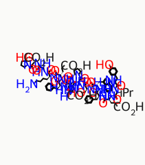 CC(C)[C@H](NC(=O)[C@@H](N)Cc1ccc(O)cc1)C(=O)N[C@@H](CCC(=O)O)C(=O)N[C@@H](Cc1ccccc1)C(=O)N[C@@H](Cc1c[nH]c2ccccc12)C(=O)N[C@@H](CO)C(=O)N[C@@H](Cc1c[nH]cn1)C(=O)N1CCC[C@H]1C(=O)N[C@@H](CCC(=O)O)C(=O)N[C@@H](Cc1ccccc1)C(=O)N[C@@H](CCC(=O)O)C(=O)N[C@@H](CCCCN)C(=O)NCC(=O)N[C@@H](CO)C(=O)N1CCC[C@H]1C(=O)O